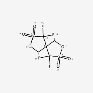 O=S1(=O)OCC2(COS(=O)(=O)C2(F)F)C1(F)F